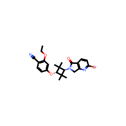 CCOc1cc(O[C@H]2C(C)(C)[C@H](N3Cc4nc(Br)ccc4C3=O)C2(C)C)ccc1C#N